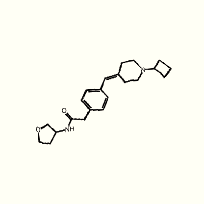 O=C(Cc1ccc(C=C2CCN(C3CCC3)CC2)cc1)NC1CCOC1